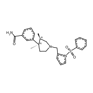 C[C@H]1CN(Cc2cccn2S(=O)(=O)c2ccccc2)CC[C@@]1(C)c1cccc(C(N)=O)c1